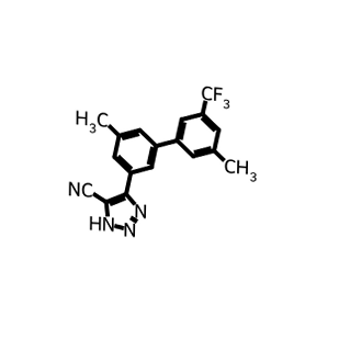 Cc1cc(-c2cc(C)cc(C(F)(F)F)c2)cc(-c2nn[nH]c2C#N)c1